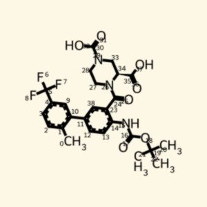 Cc1ccc(C(F)(F)F)cc1-c1ccc(NC(=O)OC(C)(C)C)c(C(=O)N2CCN(C(=O)O)C[C@H]2C(=O)O)c1